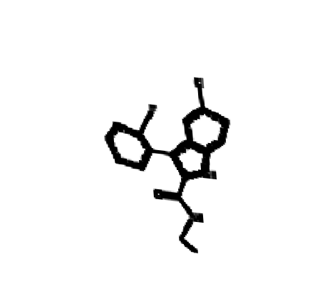 CCNC(=O)c1[nH]c2ccc(Cl)cc2c1-c1ccccc1F